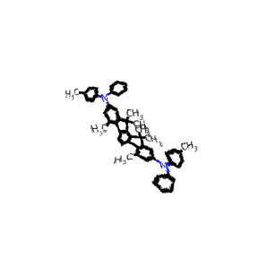 Cc1ccc(N(c2ccccc2)c2cc(C)c3c(c2)C(C)(C)c2c-3ccc3c2C(C)(C)c2cc(N(c4ccccc4)c4ccc(C)cc4)cc(C)c2-3)cc1